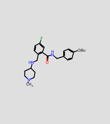 CC(C)COc1ccc(CNC(=O)c2cc(F)ccc2CNC2CCN(C)CC2)cc1